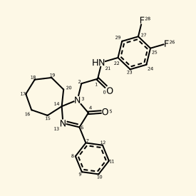 O=C(CN1C(=O)C(c2ccccc2)=NC12CCCCCC2)Nc1ccc(F)c(F)c1